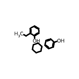 C1CCCCC1.CCc1ccccc1O.Oc1ccccc1